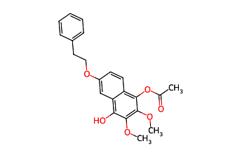 COc1c(OC)c(OC(C)=O)c2ccc(OCCc3ccccc3)cc2c1O